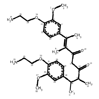 COc1cc(/C(C)=C(\C)C(=O)CC(=O)C(C)C(C)c2ccc(OCCN)c(OC)c2)ccc1OCCN